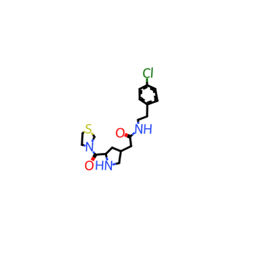 O=C(CC1CNC(C(=O)N2CCSC2)C1)NCCc1ccc(Cl)cc1